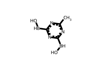 Cc1nc(BO)nc(BO)n1